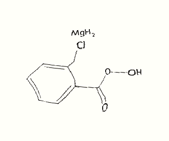 O=C(OO)c1ccccc1Cl.[MgH2]